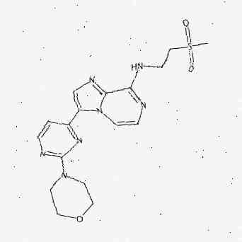 CS(=O)(=O)CCNc1nccn2c(-c3ccnc(N4CCOCC4)n3)cnc12